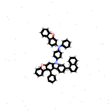 c1ccc(-c2c3c(cc4c2c2ccc(-c5cccc6ccccc56)cc2n4-c2ccc(N(c4ccccc4)c4ccc5c(c4)oc4ccccc45)cc2)oc2ccccc23)cc1